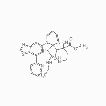 CCNC(=O)NC1(C2CNCCC2(C)C(=O)OC)N=CC=CN1c1cc(-c2ccccn2)c2scnc2c1